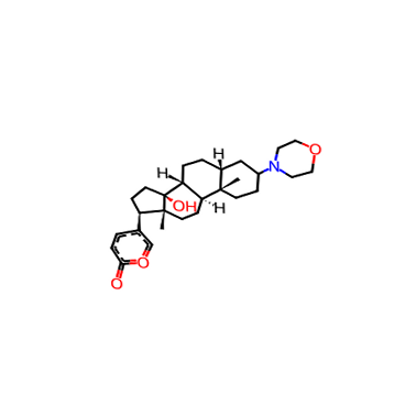 C[C@]12CCC(N3CCOCC3)C[C@H]1CC[C@@H]1[C@@H]2CC[C@]2(C)[C@@H](c3ccc(=O)oc3)CC[C@]12O